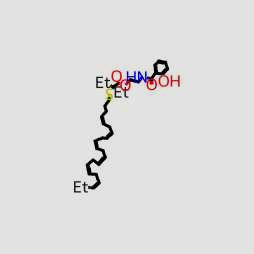 CC/C=C\C/C=C\C/C=C\C/C=C\C/C=C\C/C=C\CCCSC(CC)(CC)C(=O)OCCNC(=O)c1ccccc1O